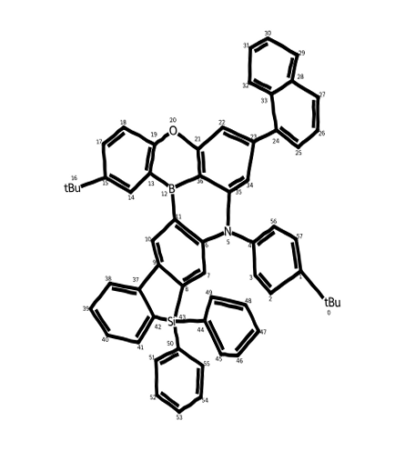 CC(C)(C)c1ccc(N2c3cc4c(cc3B3c5cc(C(C)(C)C)ccc5Oc5cc(-c6cccc7ccccc67)cc2c53)-c2ccccc2[Si]4(c2ccccc2)c2ccccc2)cc1